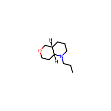 CCCN1CCC[C@H]2COCC[C@H]21